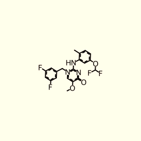 COc1cn(Cc2cc(F)cc(F)c2)c(Nc2cc(OC(F)F)ccc2C)nc1=O